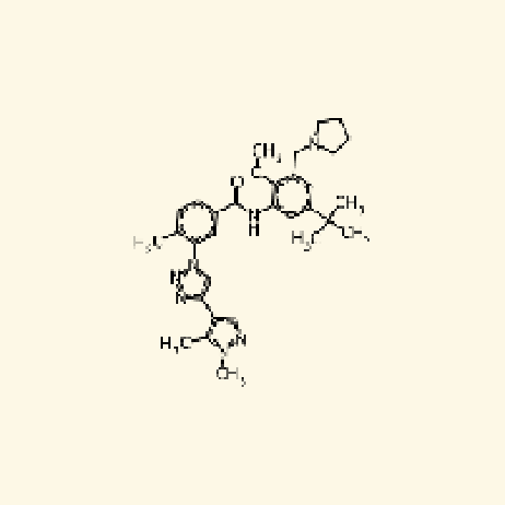 COc1c(CN2CCCC2)cc(C(C)(C)C)cc1NC(=O)c1ccc(C)c(-n2cc(-c3cnn(C)c3C)nn2)c1